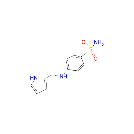 NS(=O)(=O)c1ccc(NCc2ccc[nH]2)cc1